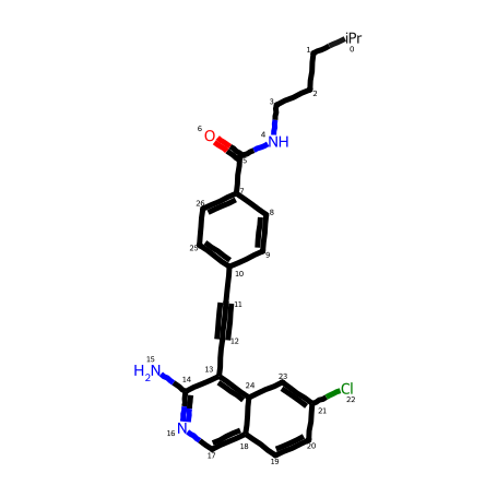 CC(C)CCCNC(=O)c1ccc(C#Cc2c(N)ncc3ccc(Cl)cc23)cc1